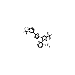 CC(F)(F)c1cc(-c2ccc(-c3cccc(C(C)(C)C(=O)O)c3)s2)n(-c2ncccc2C(F)(F)F)n1